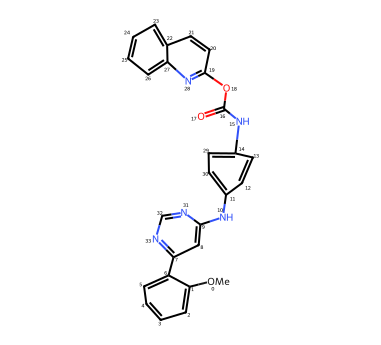 COc1ccccc1-c1cc(Nc2ccc(NC(=O)Oc3ccc4ccccc4n3)cc2)ncn1